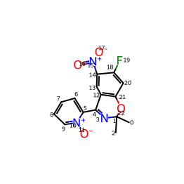 CC1(C)N=C(c2cccc[n+]2[O-])c2cc([N+](=O)[O-])c(F)cc2O1